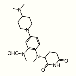 CN(C=O)c1cc(N2CCC(N(C)C)CC2)ccc1N(C)C1CCC(=O)NC1=O